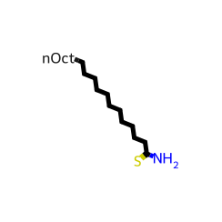 CCCCCCCCCCCCCCCCCCCC(N)=S